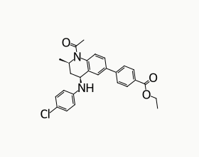 CCOC(=O)c1ccc(-c2ccc3c(c2)[C@@H](Nc2ccc(Cl)cc2)C[C@@H](C)N3C(C)=O)cc1